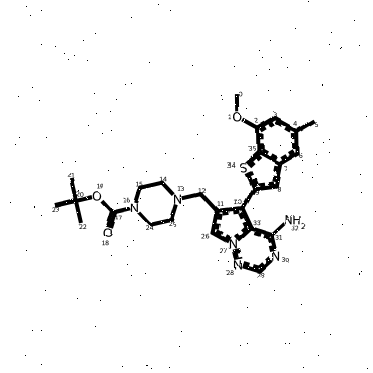 COc1cc(C)cc2cc(-c3c(CN4CCN(C(=O)OC(C)(C)C)CC4)cn4ncnc(N)c34)sc12